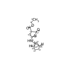 CCOC(=O)C1SC(NC2C[C@@H]3CC[C@H]2C3)=NC1=O